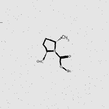 C[C@H]1CC[C@H](C=O)N1C(=O)OC(C)(C)C